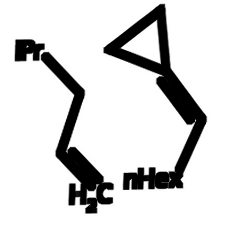 C=CCC(C)C.CCCCCCC=C1CC1